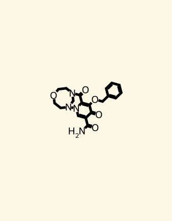 NC(=O)c1cn2c(c(OCc3ccccc3)c1=O)C(=O)N1CCOCCN2C1